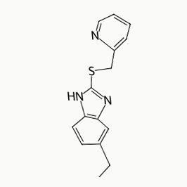 CCc1ccc2[nH]c(SCc3ccccn3)nc2c1